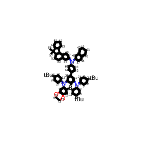 CC(C)(C)c1ccc(N2c3ccc(C(C)(C)C)cc3B3c4cc5c(cc4N(c4ccc(C(C)(C)C)cc4)c4cc(-c6ccc(N(c7ccc8ccccc8c7)c7ccc8c9c(ccc8c7)C(C)(C)c7ccccc7-9)cc6)cc2c43)OCCO5)cc1